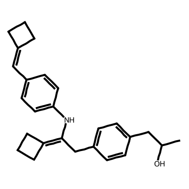 CC(O)Cc1ccc(CC(Nc2ccc(C=C3CCC3)cc2)=C2CCC2)cc1